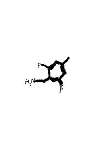 Cc1cc(F)c(CN)c(F)c1